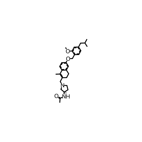 COc1cc(CC(C)C)ccc1COc1ccc2c(c1)CCC(CN1CC[C@@H](NC(C)=O)C1)=C2C